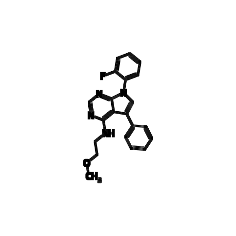 COCCNc1ncnc2c1c(-c1ccccc1)cn2-c1ccccc1F